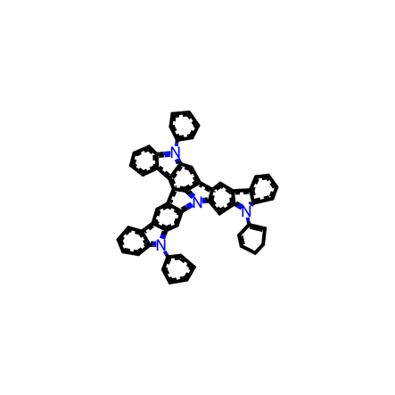 C1=CC(n2c3ccccc3c3cc4c5cc6c(c7ccccc7n6-c6ccccc6)c6c7cc8c9ccccc9n(-c9ccccc9)c8cc7n(c4cc32)c56)=CCC1